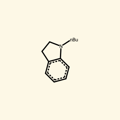 [CH2]CCCN1CCc2ccccc21